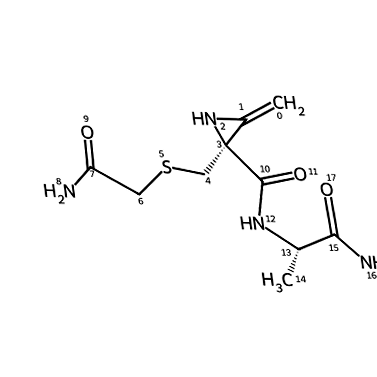 C=C1N[C@]1(CSCC(N)=O)C(=O)N[C@@H](C)C(N)=O